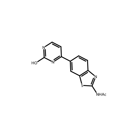 CC(=O)Nc1nc2ccc(-c3ccnc(O)n3)cc2s1